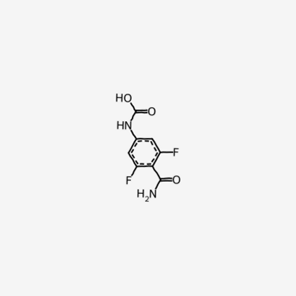 NC(=O)c1c(F)cc(NC(=O)O)cc1F